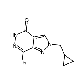 CC(C)c1n[nH]c(=O)c2cn(CC3CC3)nc12